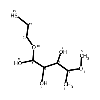 COC(C)C(O)C(O)C(O)OCCS